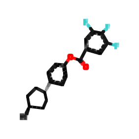 CC[C@H]1CC[C@H](c2ccc(OC(=O)c3cc(F)c(F)c(F)c3)cc2)CC1